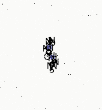 CSc1ncc2c(/N=N/c3cc(/N=N/c4nc(C)no4)c(N(C)C)cc3O)snc2n1